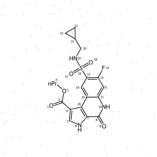 CCCOC(=O)c1c[nH]c2c(=O)[nH]c3cc(F)c(S(=O)(=O)NCC4CC4)cc3c12